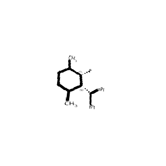 CCCC(CCC)[C@@H]1C(C)CCC(C)[C@@H]1F